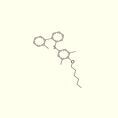 CCCCCCOc1c(C)cc(Sc2ccccc2-c2ccccc2C)cc1C